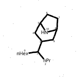 CCCCCCC(CCC)C1CC2CCC(C1)N2